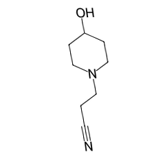 N#CCCN1CCC(O)CC1